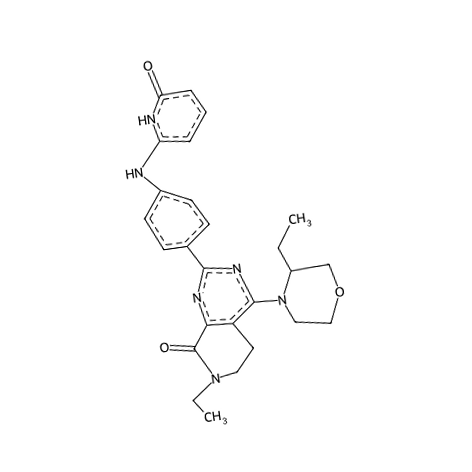 CCC1COCCN1c1nc(-c2ccc(Nc3cccc(=O)[nH]3)cc2)nc2c1CCN(CC)C2=O